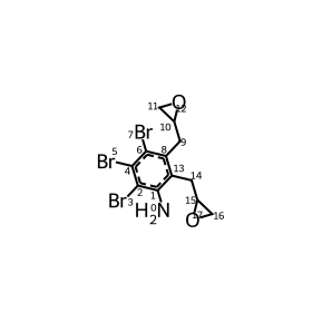 Nc1c(Br)c(Br)c(Br)c(CC2CO2)c1CC1CO1